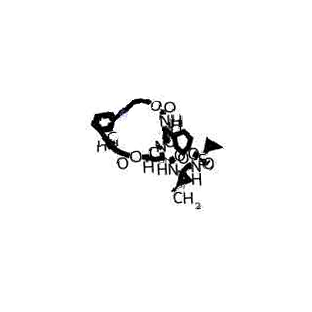 C=C[C@@H]1C[C@]1(NC(=O)[C@@H]1C[C@@H]2CN1C(=O)[C@H](C1CCCCC1)NC(=O)OCCC/C=C/c1cccc3c1CNC(C3)C(=O)O2)C(=O)NS(=O)(=O)C1CC1